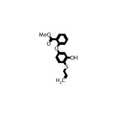 C=CCSc1ccc(Oc2ccccc2C(=O)OC)cc1O